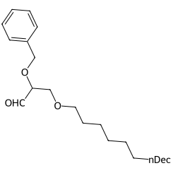 CCCCCCCCCCCCCCCCOCC(C=O)OCc1ccccc1